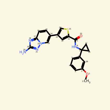 COc1cccc(C2(NC(=O)c3cc(-c4ccc5nc(N)nn5c4)cs3)CC2)c1